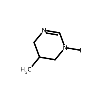 CC1CN=CN(I)C1